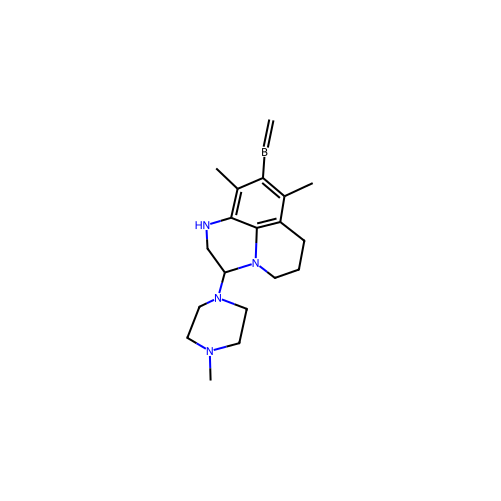 C=Bc1c(C)c2c3c(c1C)NCC(N1CCN(C)CC1)N3CCC2